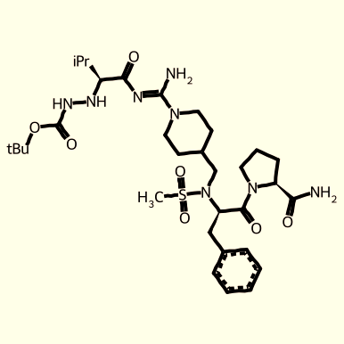 CC(C)[C@H](NNC(=O)OC(C)(C)C)C(=O)N=C(N)N1CCC(CN([C@H](Cc2ccccc2)C(=O)N2CCC[C@H]2C(N)=O)S(C)(=O)=O)CC1